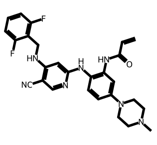 C=CC(=O)Nc1cc(N2CCN(C)CC2)ccc1Nc1cc(NCc2c(F)cccc2F)c(C#N)cn1